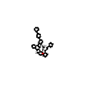 c1ccc(-c2ccc(-c3ccc4c(c3)c3c5ccccc5c5sc6ccccc6c5c3n4-c3nc(-c4ccccc4)cc(-c4ccccc4)n3)cc2)cc1